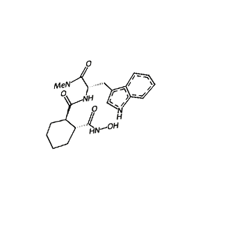 CNC(=O)[C@H](Cc1c[nH]c2ccccc12)NC(=O)[C@@H]1CCCC[C@H]1C(=O)NO